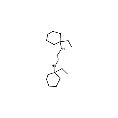 CCC1(NSSNC2(CC)CCCCC2)CCCCC1